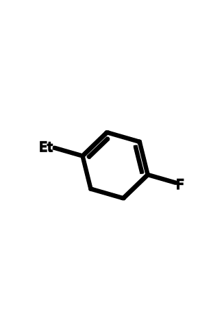 CCC1=CC=C(F)CC1